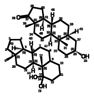 C[C@@]12CCC[C@H]1[C@@H]1CCC3CCCC(O)(O)[C@]3(C)[C@H]1CC2.C[C@]12CC[C@@H](O)C[C@@H]1CC[C@@H]1[C@@H]2CC[C@]2(C)C(=O)CC[C@@H]12